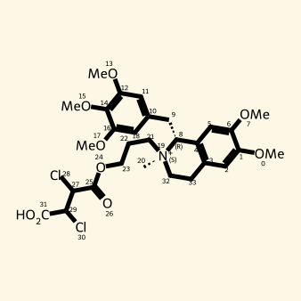 COc1cc2c(cc1OC)[C@@H](Cc1cc(OC)c(OC)c(OC)c1)[N@+](C)(CCCOC(=O)C(Cl)C(Cl)C(=O)O)CC2